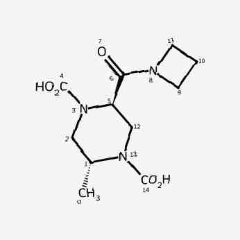 C[C@@H]1CN(C(=O)O)[C@@H](C(=O)N2CCC2)CN1C(=O)O